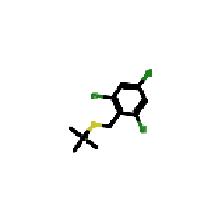 [CH3][Sn]([CH3])([CH3])[S]Cc1c(Cl)cc(Cl)cc1Cl